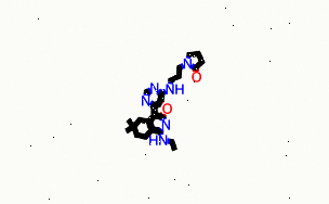 CCNc1nc2oc3c(NCCCN4CCCC4=O)ncnc3c2c2c1CCC(C)(C)C2